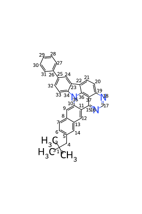 CC(C)(C)Cc1ccc2cc3c(cc2c1)c1ncnc2ccc4c5cc(-c6ccccc6)ccc5n3c4c21